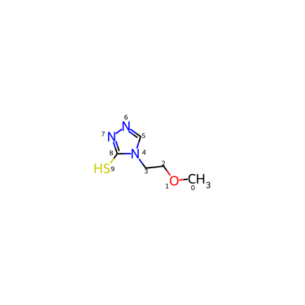 COCCn1cnnc1S